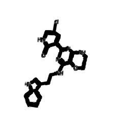 O=c1[nH]cc(Cl)cc1-c1nc2c(c(NCCc3c[nH]c4ccccc34)n1)OCCN2